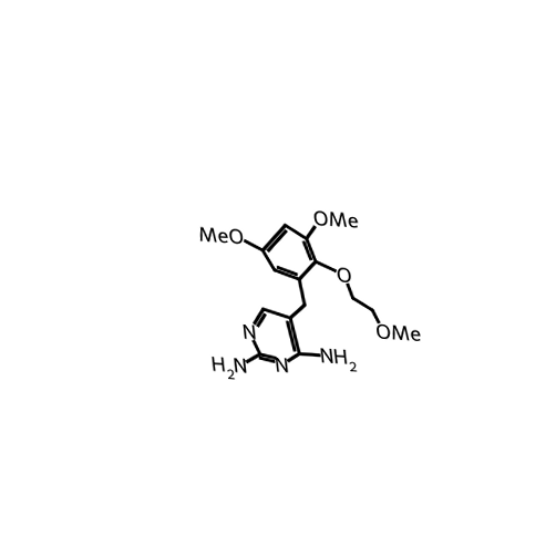 COCCOc1c(Cc2cnc(N)nc2N)cc(OC)cc1OC